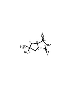 CC1(C#N)CC2C(=O)NC(=O)C2C1